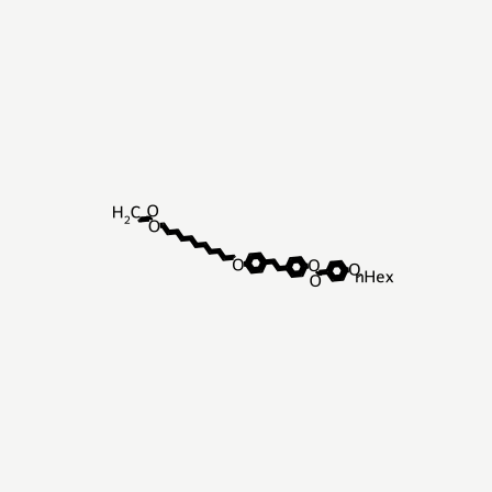 C=CC(=O)OCCCCCCCCCCCOc1ccc(CCc2ccc(OC(=O)c3ccc(OCCCCCC)cc3)cc2)cc1